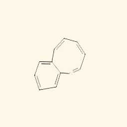 C1=CC=Nc2ccccc2C=C1